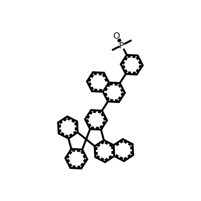 CP(C)(=O)c1cccc(-c2ccc(-c3ccc4c(c3)-c3c(ccc5ccccc35)C43c4ccccc4-c4ccccc43)c3ccccc23)c1